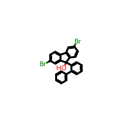 OC1(c2ccccc2-c2ccccc2)c2ccc(Br)cc2-c2ccc(Br)cc21